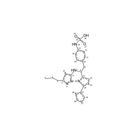 CCCc1nnc(NC(Cc2ccc(NS(=O)(=O)O)cc2)c2csc(-c3cccs3)n2)s1